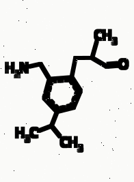 CC(C=O)Cc1ccc(C(C)C)cc1CN